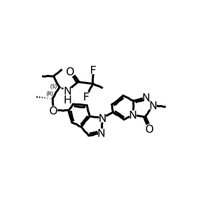 CC(C)[C@H](NC(=O)C(C)(F)F)[C@@H](C)Oc1ccc2c(cnn2-c2ccc3nn(C)c(=O)n3c2)c1